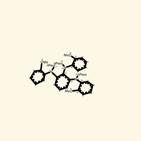 CCCCCN(c1ccccc1OC)c1cccc(N(CCCCC)c2ccccc2OC)c1N(CCCCC)c1ccccc1OC